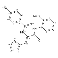 COc1ccccc1NC(=O)C(=Cc1cccs1)NC(=O)c1ccc(C(C)(C)C)cc1